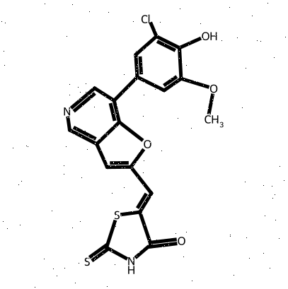 COc1cc(-c2cncc3cc(/C=C4\SC(=S)NC4=O)oc23)cc(Cl)c1O